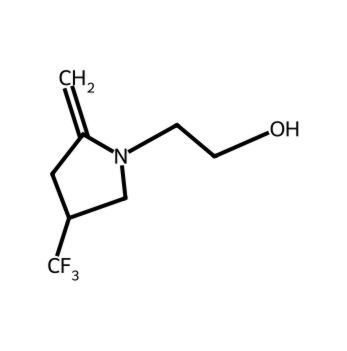 C=C1CC(C(F)(F)F)CN1CCO